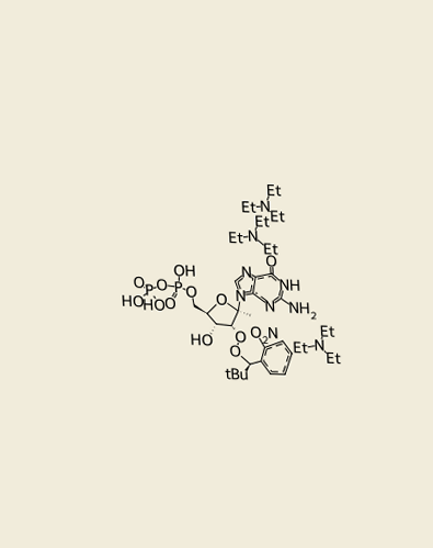 CC(C)(C)[C@@H](OO[C@@H]1[C@H](O)[C@@H](COP(=O)(O)OP(=O)(O)O)O[C@@]1(C)n1cnc2c(=O)[nH]c(N)nc21)c1ccccc1[N+](=O)[O-].CCN(CC)CC.CCN(CC)CC.CCN(CC)CC